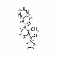 Cc1c(C(=O)N2CCCC2)cccc1-c1ccc2nccnc2c1